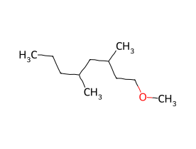 CCCC(C)CC(C)CCOC